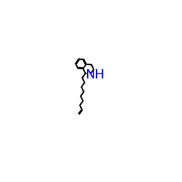 C=CCCCCCCCC1NCCc2ccccc21